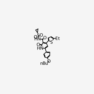 CCCCOc1ccc(-c2cc(-c3ccc(CC)s3)c(C(=O)NS(=O)(=O)C3CC3)c(=O)[nH]2)cc1